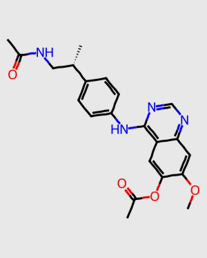 COc1cc2ncnc(Nc3ccc([C@@H](C)CNC(C)=O)cc3)c2cc1OC(C)=O